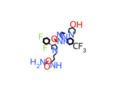 N=C(CCCN1C[C@@H](C(=O)Nc2nccn2-c2ccc(C(F)(F)F)cc2N2CCC(O)CC2)[C@H](c2ccc(F)cc2F)C1)OC(N)=O